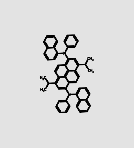 CC(C)c1cc(N(c2ccccc2)c2cccc3ccccc23)c2ccc3c(C(C)C)cc(N(c4ccccc4)c4cccc5ccccc45)c4ccc1c2c34